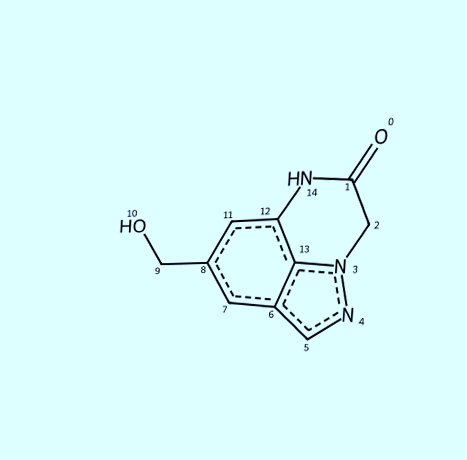 O=C1Cn2ncc3cc(CO)cc(c32)N1